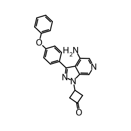 Nc1cncc2c1c(-c1ccc(Oc3ccccc3)cc1)nn2C1CC(=O)C1